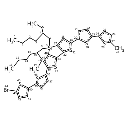 CCCCC(CC)C[Si]1(CC(CC)CCCC)c2cc(-c3ccc(-c4ccc(C)s4)s3)sc2-c2sc(-c3ccc(-c4ccc(Br)s4)s3)cc21